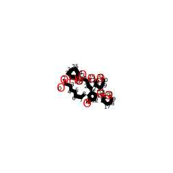 O=C(O)CCC/C=C\C[C@H]1C(=O)C[C@@H](OC2CCCCO2)[C@@H]1/C=C/[C@H](OC1CCCCO1)C1Oc2ccccc2O1